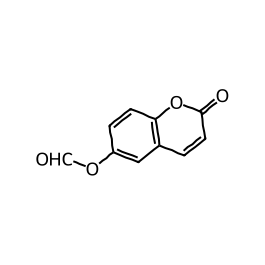 O=COc1ccc2oc(=O)ccc2c1